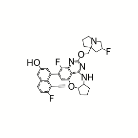 C#Cc1c(F)ccc2cc(O)cc(-c3cc4c5c(nc(OCC67CCCN6CC(F)C7)nc5c3F)NC3CCCC3O4)c12